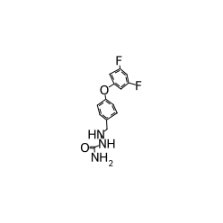 NC(=O)NNCc1ccc(Oc2cc(F)cc(F)c2)cc1